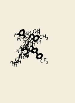 [2H]C1=C(SC([2H])([2H])c2cccc(F)c2F)N(C([2H])([2H])C(=O)N(Cc2ccc(-c3ccc(C(F)(F)F)cc3)cc2)C2([2H])C([2H])([2H])C([2H])([2H])N(CCOC([2H])([2H])[2H])C([2H])([2H])C2([2H])[2H])c2c([2H])c([2H])c(C)c([2H])c2C1O